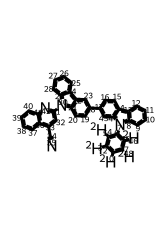 [2H]c1c([2H])c([2H])c(-n2c3ccccc3c3ccc(-c4ccc5c(c4)c4ccccc4n5-c4cc(C#N)c5ccccc5n4)cc32)c([2H])c1[2H]